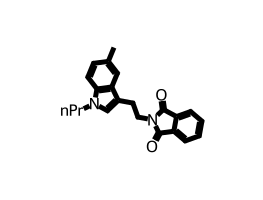 CCCn1cc(CCN2C(=O)c3ccccc3C2=O)c2cc(C)ccc21